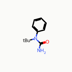 CC(C)(C)N(C(N)=O)c1ccccc1